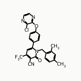 Cc1ccc(Cn2c(-c3ccc(Oc4nccnc4Cl)cc3)cc(C(F)(F)F)c(C#N)c2=O)c(C)c1